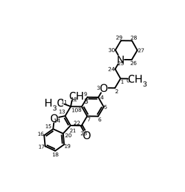 CC(COc1ccc2c(c1)C(C)(C)c1oc3ccccc3c1C2=O)CN1CCCCC1